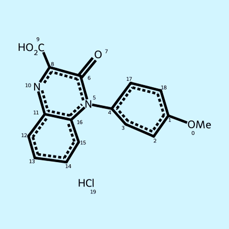 COc1ccc(-n2c(=O)c(C(=O)O)nc3ccccc32)cc1.Cl